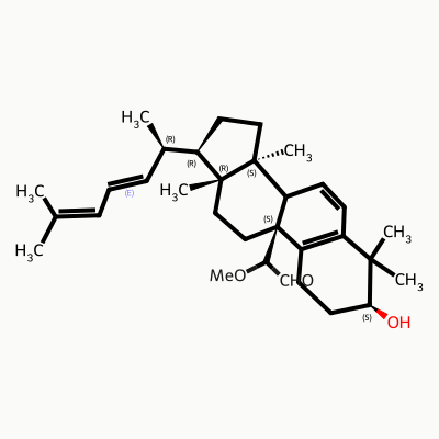 COC(C=O)[C@@]12CC[C@]3(C)[C@@H]([C@H](C)/C=C/C=C(C)C)CC[C@@]3(C)C1C=CC1=C2CC[C@H](O)C1(C)C